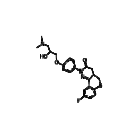 CN(C)CC(O)COc1ccc(N2N=C3c4cc(F)ccc4SCC3CC2=O)cc1